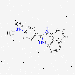 CN(C)c1ccc(C2Nc3cccc4cccc(c34)N2)cc1